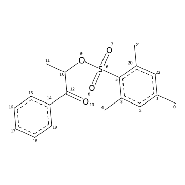 Cc1cc(C)c(S(=O)(=O)OC(C)C(=O)c2ccccc2)c(C)c1